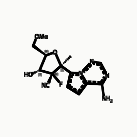 COC[C@H]1O[C@@](C)(c2ccc3c(N)ncnn23)[C@@](F)(C#N)[C@@H]1O